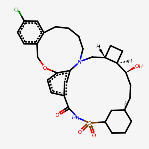 O=C1NS(=O)(=O)C2CCC[C@H](CC[C@H](O)[C@@H]3CC[C@H]3CN3CCCCc4cc(Cl)ccc4COc4ccc1cc43)C2